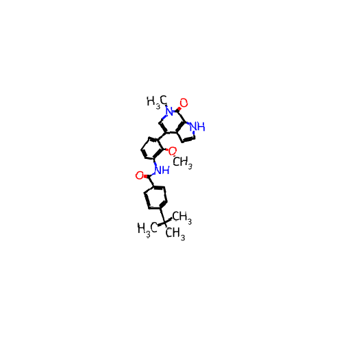 COc1c(NC(=O)c2ccc(C(C)(C)C)cc2)cccc1-c1cn(C)c(=O)c2[nH]ccc12